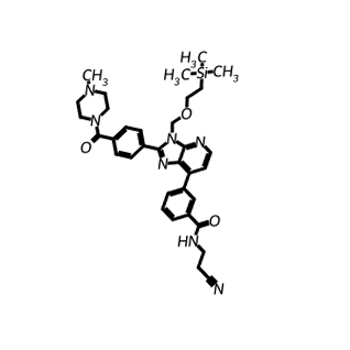 CN1CCN(C(=O)c2ccc(-c3nc4c(-c5cccc(C(=O)NCCC#N)c5)ccnc4n3COCC[Si](C)(C)C)cc2)CC1